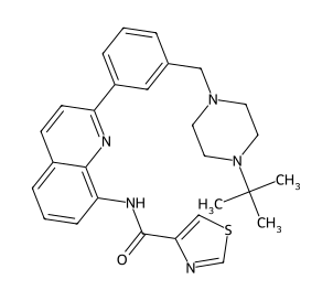 CC(C)(C)N1CCN(Cc2cccc(-c3ccc4cccc(NC(=O)c5cscn5)c4n3)c2)CC1